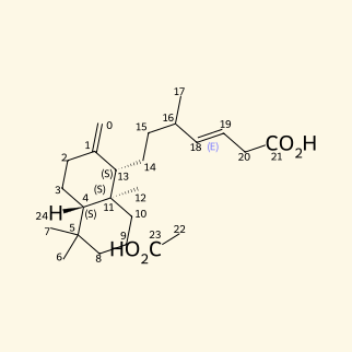 C=C1CC[C@H]2C(C)(C)CCC[C@]2(C)[C@H]1CCC(C)/C=C/CC(=O)O.CC(=O)O